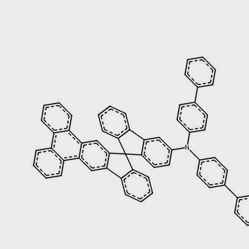 c1ccc(-c2ccc(N(c3ccc(-c4ccccc4)cc3)c3ccc4c(c3)-c3ccccc3C43c4ccccc4-c4cc5c6ccccc6c6ccccc6c5cc43)cc2)cc1